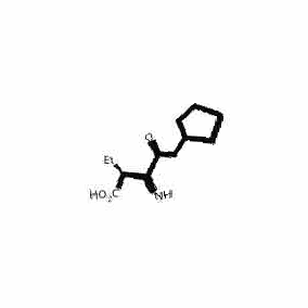 CC[C@@H](C(=N)C(=O)CC1CCCC1)C(=O)O